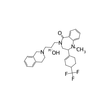 CN1c2ccccc2C(=O)N(C[C@H](O)CN2CCc3ccccc3C2)CC1C1=CCC(C(F)(F)F)CC1